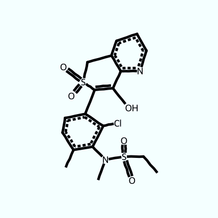 CCS(=O)(=O)N(C)c1c(C)ccc(C2=C(O)c3ncccc3CS2(=O)=O)c1Cl